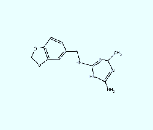 CC1N=C(N)NC(NCc2ccc3c(c2)OCO3)=N1